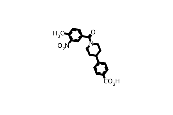 Cc1ccc(C(=O)N2CCC(c3ccc(C(=O)O)cc3)CC2)cc1[N+](=O)[O-]